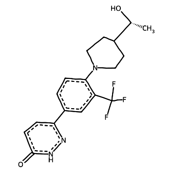 C[C@@H](O)C1CCN(c2ccc(-c3ccc(=O)[nH]n3)cc2C(F)(F)F)CC1